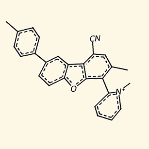 Cc1ccc(-c2ccc3oc4c(-c5cccc[n+]5C)c(C)cc(C#N)c4c3c2)cc1